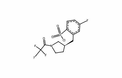 O=C(N1CC[C@H](Cc2cc(F)ccc2S(=O)(=O)Cl)C1)C(F)(F)F